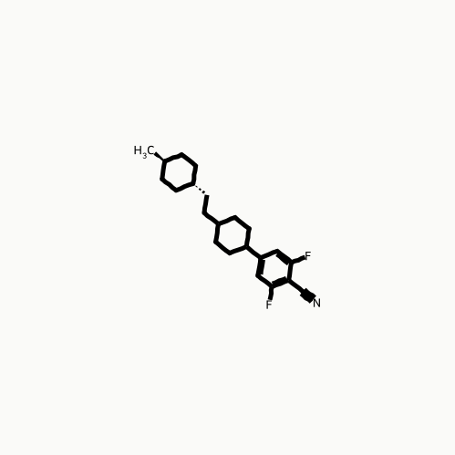 C[C@H]1CC[C@H](CCC2CCC(c3cc(F)c(C#N)c(F)c3)CC2)CC1